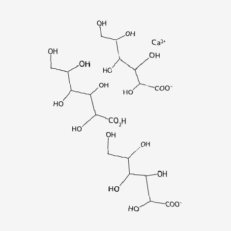 O=C(O)C(O)C(O)C(O)C(O)CO.O=C([O-])C(O)C(O)C(O)C(O)CO.O=C([O-])C(O)C(O)C(O)C(O)CO.[Ca+2]